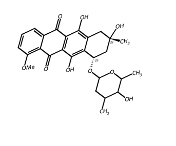 COc1cccc2c1C(=O)c1c(O)c3c(c(O)c1C2=O)C[C@](C)(O)C[C@@H]3OC1CC(C)C(O)C(C)O1